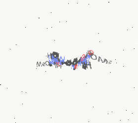 C=C(N[C@H](C(=O)N1C[C@@H]2CC[C@@]1(c1nc(-c3ccc(-c4ccc(-c5c[nH]c([C@@]67CC[C@@H](CN6C(=O)[C@@H](NC(=O)OC)C(C)C)C7)n5)c5oc(C)nc45)cc3)c[nH]1)C2)C(C)C)OC